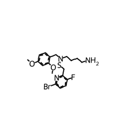 COc1ccc(CN(CCCCN)SCc2nc(Br)ccc2F)c(OC)c1